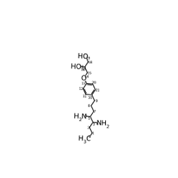 CCCC(N)C(N)CCCc1ccc(OC[C@@H](O)CO)cc1